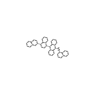 c1ccc2cc(-c3ccc(-c4c5ccccc5c(Sc5cccc6ccccc56)c5ccccc45)c4ccccc34)ccc2c1